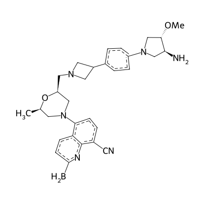 Bc1ccc2c(N3C[C@H](CN4CC(c5ccc(N6C[C@H](OC)[C@@H](N)C6)cc5)C4)O[C@H](C)C3)ccc(C#N)c2n1